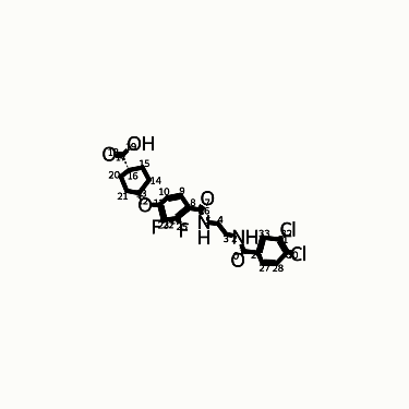 O=C(NCCNC(=O)c1ccc(O[C@H]2CC[C@@H](C(=O)O)CC2)c(F)c1F)c1ccc(Cl)c(Cl)c1